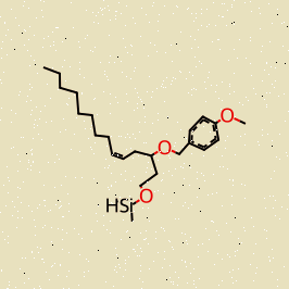 CCCCCCCC/C=C\CC(CCO[SiH](C)C)OCc1ccc(OC)cc1